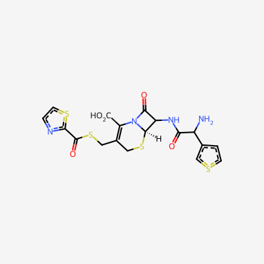 NC(C(=O)NC1C(=O)N2C(C(=O)O)=C(CSC(=O)c3nccs3)CS[C@H]12)c1ccsc1